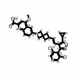 COc1cc(C(=O)O)nc2ccc(N3CC4(CC(/C=C/c5c(-c6c(Cl)cncc6Cl)noc5C5CC5)C4)C3)cc12